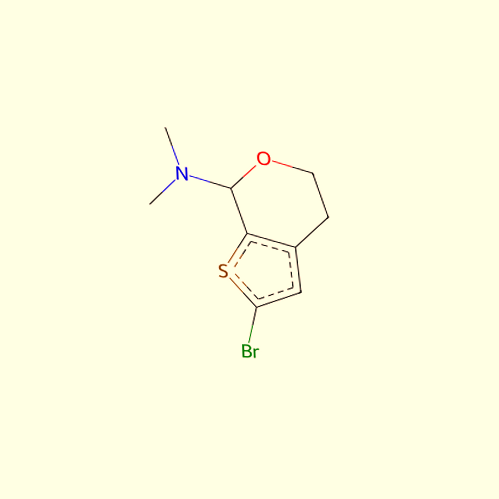 CN(C)C1OCCc2cc(Br)sc21